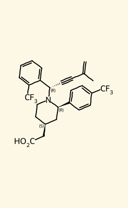 C=C(C)C#C[C@@H](c1ccccc1C(F)(F)F)N1CC[C@H](CC(=O)O)C[C@@H]1c1ccc(C(F)(F)F)cc1